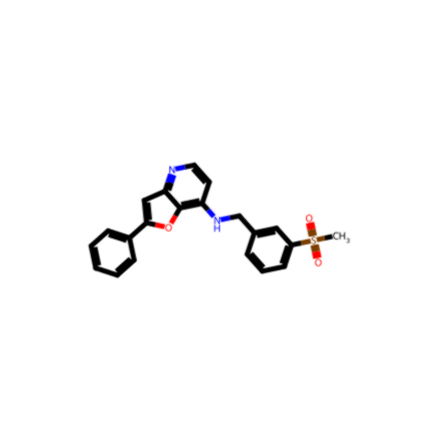 CS(=O)(=O)c1cccc(CNc2ccnc3cc(-c4ccccc4)oc23)c1